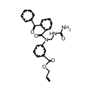 C=CCOC(=O)c1cccc(N(CNC(N)=O)C(=O)c2ccccc2C(=O)c2ccccc2)c1